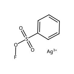 O=S(=O)(OF)c1ccccc1.[Ag+3]